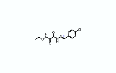 CCONC(=O)C(=O)N/N=C/c1ccc(Cl)cc1